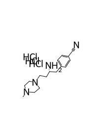 CN1CCN(CC[C@H](N)Cc2ccc(C#N)cc2)CC1.Cl.Cl.Cl